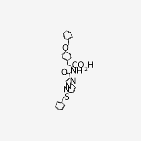 O=C(N[C@@H](Cc1ccc(OCc2ccccc2)cc1)C(=O)O)c1cn2nc(SCc3ccccc3)ccc2n1